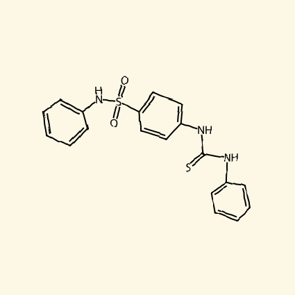 O=S(=O)(Nc1ccccc1)c1ccc(NC(=S)Nc2ccccc2)cc1